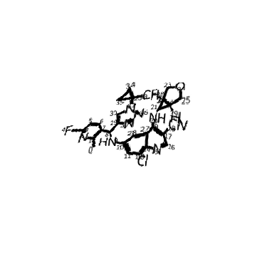 Cc1nc(F)ccc1[C@H](Nc1cc(Cl)c2ncc(C#N)c(N[C@@H]3[C@@H]4COC[C@@H]43)c2c1)c1cn(C2(C(F)(F)F)CC2)nn1